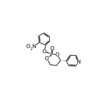 O=[N+]([O-])c1ccccc1O[P@]1(=O)OCC[C@@H](c2ccncc2)O1